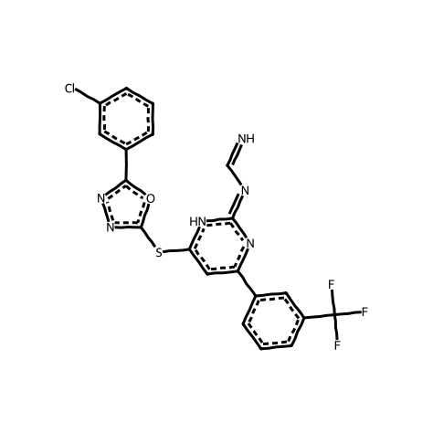 N=C/N=c1/nc(-c2cccc(C(F)(F)F)c2)cc(Sc2nnc(-c3cccc(Cl)c3)o2)[nH]1